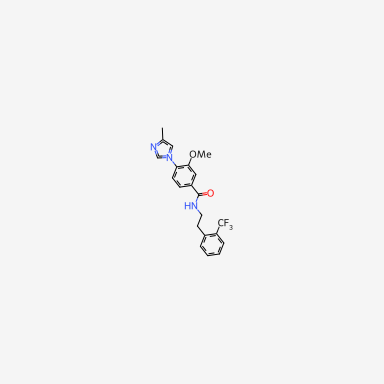 COc1cc(C(=O)NCCc2ccccc2C(F)(F)F)ccc1-n1cnc(C)c1